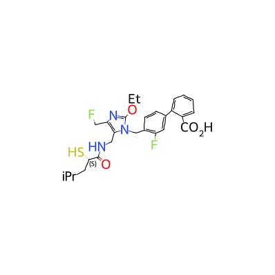 CCOc1nc(CF)c(CNC(=O)[C@@H](S)CC(C)C)n1Cc1ccc(-c2ccccc2C(=O)O)cc1F